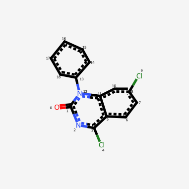 O=c1nc(Cl)c2ccc(Cl)cc2n1-c1ccccc1